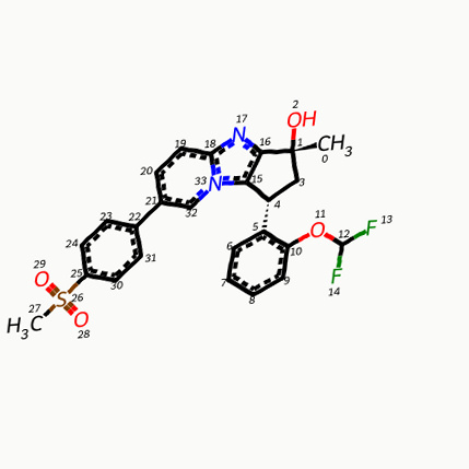 C[C@@]1(O)C[C@H](c2ccccc2OC(F)F)c2c1nc1ccc(-c3ccc(S(C)(=O)=O)cc3)cn21